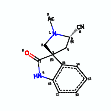 CC(=O)N1C[C@]2(C[C@H]1C#N)C(=O)Nc1ccccc12